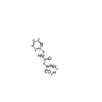 N[C@@H](CC(=O)NCc1ccccn1)C(=O)O